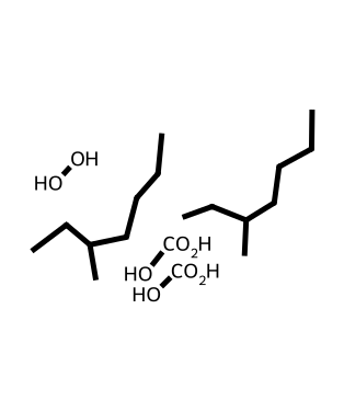 CCCCC(C)CC.CCCCC(C)CC.O=C(O)O.O=C(O)O.OO